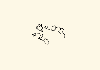 CCN1CCN(Cc2ccc(COc3nccc(C(C#N)=C4Nc5ccccc5S4)n3)cc2)CC1